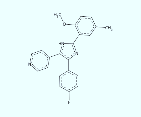 COc1ccc(C)cc1-c1nc(-c2ccc(F)cc2)c(-c2ccncc2)[nH]1